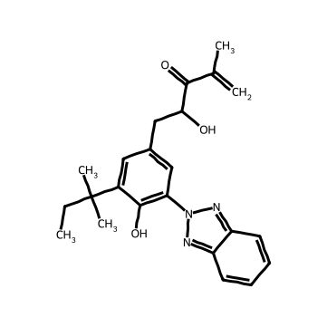 C=C(C)C(=O)C(O)Cc1cc(-n2nc3ccccc3n2)c(O)c(C(C)(C)CC)c1